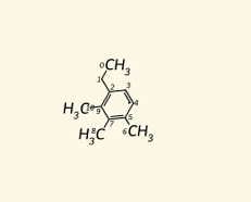 CCc1c[c]c(C)c(C)c1C